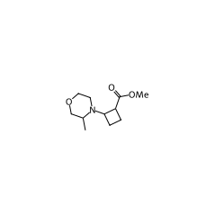 COC(=O)C1CCC1N1CCOCC1C